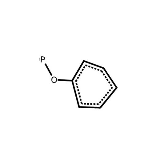 [P]Oc1ccccc1